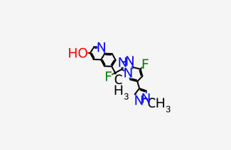 Cn1cc(-c2cc(F)c3nnc(C(C)(F)c4ccc5ncc(O)cc5c4)n3c2)cn1